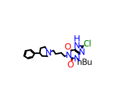 CCCCn1c(=O)n(CCCCN2CCC(c3ccccc3)CC2)c(=O)c2[nH]c(Cl)nc21